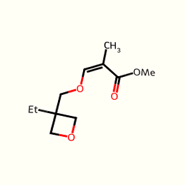 CCC1(COC=C(C)C(=O)OC)COC1